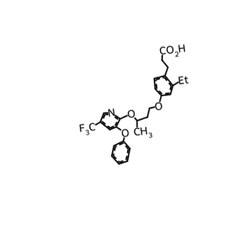 CCc1cc(OCCC(C)Oc2ncc(C(F)(F)F)cc2Oc2ccccc2)ccc1CCC(=O)O